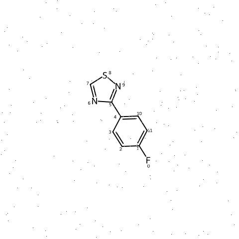 Fc1ccc(-c2ncsn2)cc1